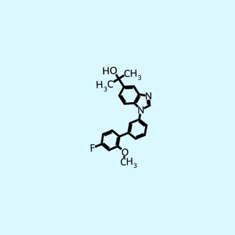 COc1cc(F)ccc1-c1cccc(-n2cnc3cc(C(C)(C)O)ccc32)c1